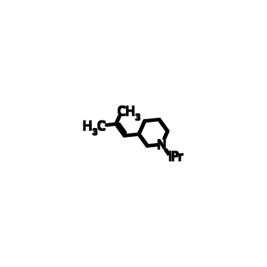 CC(C)=CC1CCCN(C(C)C)C1